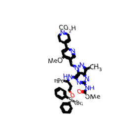 CCCC(CCO[Si](c1ccccc1)(c1ccccc1)C(C)(C)C)Nc1nc(NC(=O)OC)nc2c(C)nn(Cc3cnc(C4=CCN(C(=O)O)CC4)cc3OC)c12